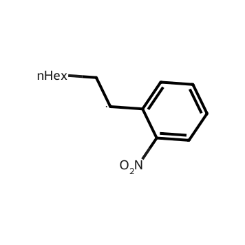 CCCCCCC[CH]c1ccccc1[N+](=O)[O-]